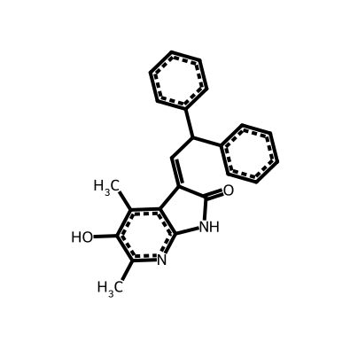 Cc1nc2c(c(C)c1O)C(=CC(c1ccccc1)c1ccccc1)C(=O)N2